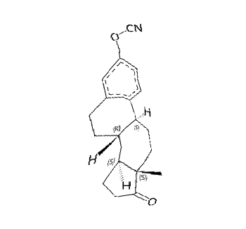 C[C@]12CC[C@@H]3c4ccc(OC#N)cc4CC[C@H]3[C@@H]1CCC2=O